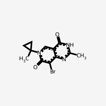 Cc1nc2c(Br)c(=O)n(C3(C)CC3)cc2c(=O)[nH]1